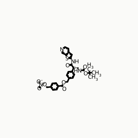 CC(C)(C)OC(=O)NC[C@@H](C(=O)Nc1cc2ccncc2s1)c1ccc(COC(=O)c2ccc(CO[N+](=O)[O-])cc2)cc1